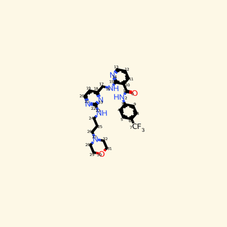 O=C(Nc1ccc(C(F)(F)F)cc1)c1cccnc1NCc1ccnc(NCCCN2CCOCC2)n1